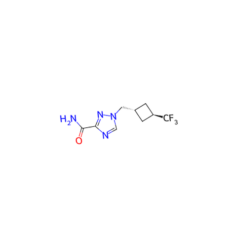 NC(=O)c1ncn(C[C@H]2C[C@H](C(F)(F)F)C2)n1